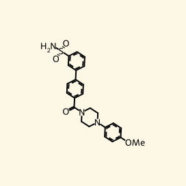 COc1ccc(N2CCN(C(=O)c3ccc(-c4cccc(S(N)(=O)=O)c4)cc3)CC2)cc1